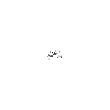 [Cr].[Fe].[Mn].[Mo]